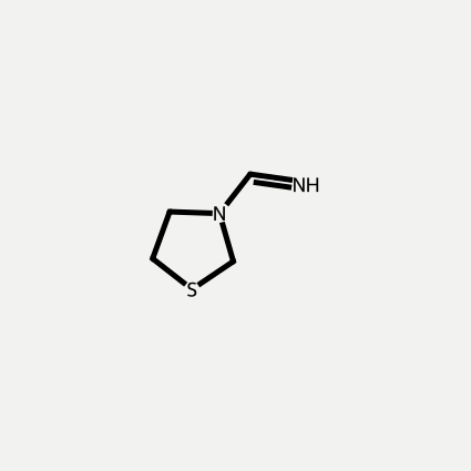 N=CN1CCSC1